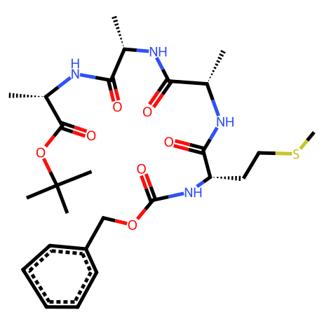 CSCC[C@H](NC(=O)OCc1ccccc1)C(=O)N[C@@H](C)C(=O)N[C@@H](C)C(=O)N[C@@H](C)C(=O)OC(C)(C)C